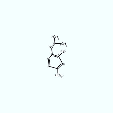 [CH2]c1ccc(OC(C)C)c(Br)c1